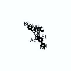 C=CC1=C(C)C[C@@H](C(=O)Nc2nc(Br)ccc2C)N1C(=O)Cn1nc(C(C)=O)c2cc(-c3cnc(C)nc3)cc(CC)c21